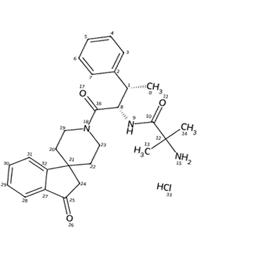 C[C@@H](c1ccccc1)[C@H](NC(=O)C(C)(C)N)C(=O)N1CCC2(CC1)CC(=O)c1ccccc12.Cl